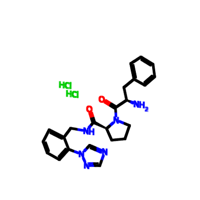 Cl.Cl.N[C@H](Cc1ccccc1)C(=O)N1CCC[C@H]1C(=O)NCc1ccccc1-n1cncn1